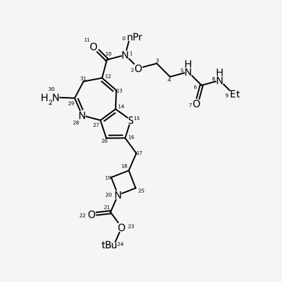 CCCN(OCCNC(=O)NCC)C(=O)C1=Cc2sc(CC3CN(C(=O)OC(C)(C)C)C3)cc2N=C(N)C1